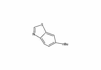 [CH2]CCCc1ccc2ncsc2c1